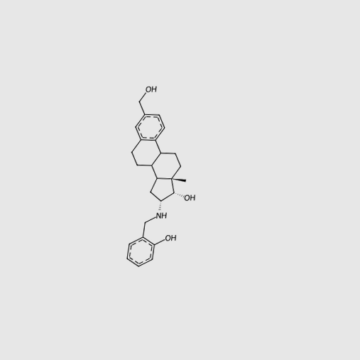 C[C@]12CCC3c4ccc(CO)cc4CCC3C1C[C@@H](NCc1ccccc1O)[C@H]2O